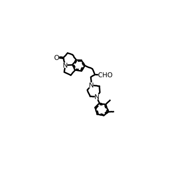 Cc1cccc(N2CCN(CC(C=O)Cc3cc4c5c(c3)CCN5C(=O)CC4)CC2)c1C